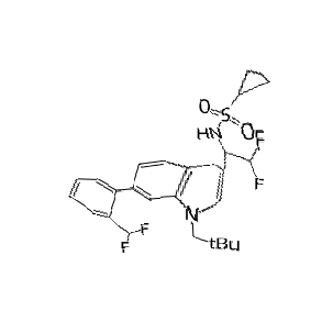 CC(C)(C)Cn1cc(C(NS(=O)(=O)C2CC2)C(F)F)c2ccc(-c3ccccc3C(F)F)cc21